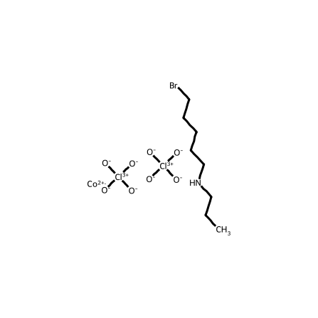 CCCNCCCCCBr.[Co+2].[O-][Cl+3]([O-])([O-])[O-].[O-][Cl+3]([O-])([O-])[O-]